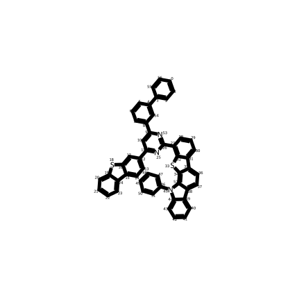 c1ccc(-c2cccc(-c3cc(-c4ccc5c(c4)sc4ccccc45)nc(-c4cccc5c4sc4c5ccc5c6ccccc6n(-c6ccccc6)c54)n3)c2)cc1